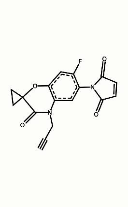 C#CCN1C(=O)C2(CC2)Oc2cc(F)c(N3C(=O)C=CC3=O)cc21